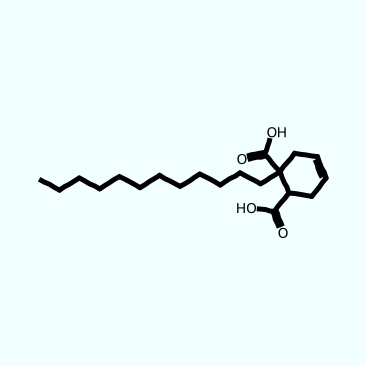 CCCCCCCCCCCCC1(C(=O)O)CC=CCC1C(=O)O